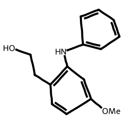 COc1ccc(CCO)c(Nc2ccccc2)c1